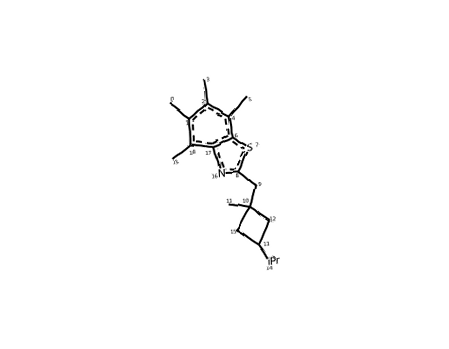 Cc1c(C)c(C)c2sc(CC3(C)CC(C(C)C)C3)nc2c1C